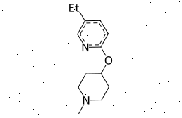 CCc1ccc(OC2CCN(C)CC2)nc1